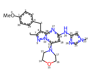 COc1ccc(Cc2c(C)nn3c(N4CCOCC4)cc(Nc4cn(C)cn4)nc23)cc1